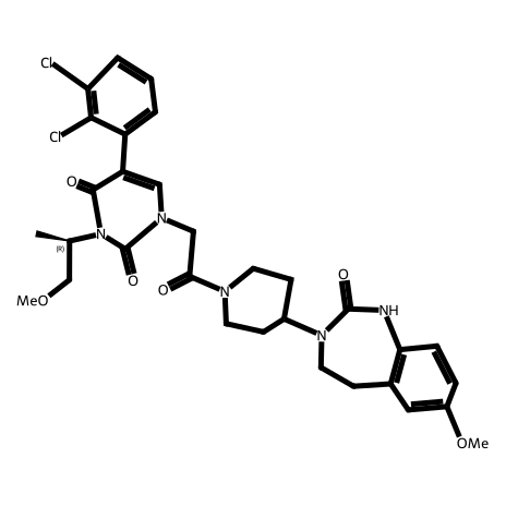 COC[C@@H](C)n1c(=O)c(-c2cccc(Cl)c2Cl)cn(CC(=O)N2CCC(N3CCc4cc(OC)ccc4NC3=O)CC2)c1=O